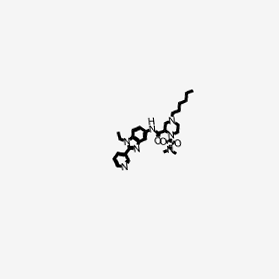 CCCCCCN1CCN(S(=O)(=O)N(C)C)C(C(=O)Nc2ccc3c(c2)nc(-c2cccnc2)n3CC)C1